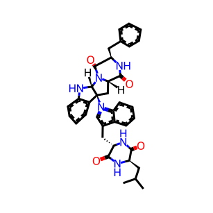 CC(C)C[C@H]1NC(=O)[C@H](Cc2cn([C@]34C[C@H]5C(=O)N[C@H](Cc6ccccc6)C(=O)N5[C@H]3Nc3ccccc34)c3ccccc23)NC1=O